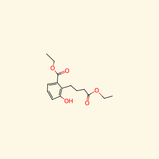 CCOC(=O)CCCc1c(O)cccc1C(=O)OCC